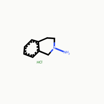 Cl.NN1CCc2ccccc2C1